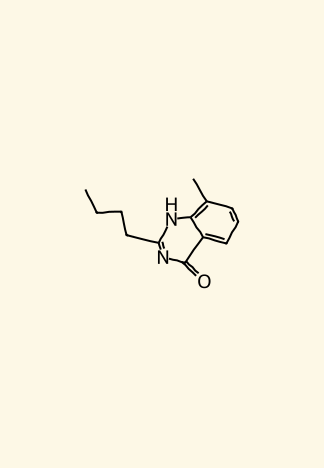 CCCCc1nc(=O)c2cccc(C)c2[nH]1